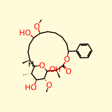 CO[C@H]1CCCCC(c2ccccc2)OC(=O)[C@@H](C)[C@@]2(O)O[C@H]([C@@H](C)[C@H](O)[C@H]2OC)[C@@H](C)CC[C@H]1O